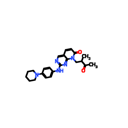 CC(=O)C(C)Cn1c(=O)ccc2cnc(Nc3ccc(N4CCCCC4)cc3)nc21